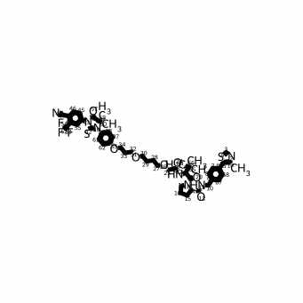 Cc1ncsc1-c1ccc(CNC(=O)[C@@H]2CCCN2C(=O)C(NC(=O)COCCCCOCCCOc2ccc(N3C(=S)N(c4ccc(C#N)c(C(F)(F)F)c4)C(=O)C3(C)C)cc2)C(C)(C)C)cc1